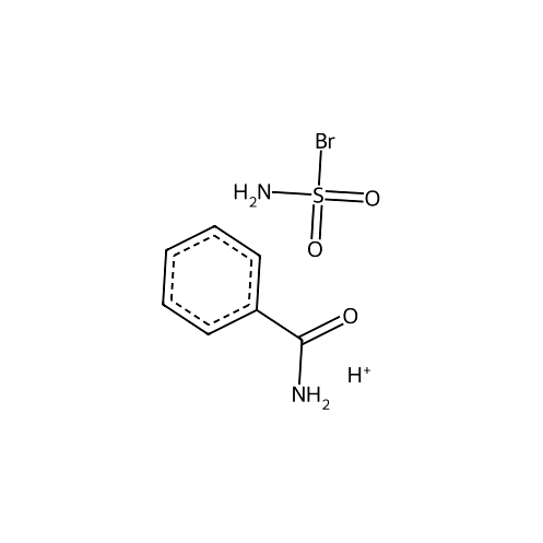 NC(=O)c1ccccc1.NS(=O)(=O)Br.[H+]